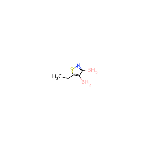 Bc1nsc(CC)c1B